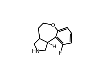 Fc1cccc2c1[C@H]1CNCC1CCO2